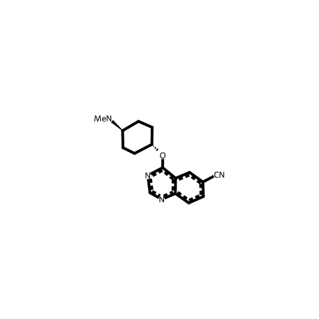 CN[C@H]1CC[C@H](Oc2ncnc3ccc(C#N)cc23)CC1